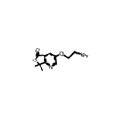 CC(C)CCOc1cnc2c(c1)C(=O)OC2(C)C